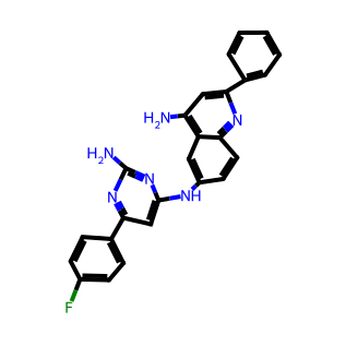 Nc1nc(Nc2ccc3nc(-c4ccccc4)cc(N)c3c2)cc(-c2ccc(F)cc2)n1